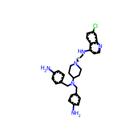 Nc1ccc(CN(Cc2ccc(N)cc2)C2CCN(CCNc3ccnc4cc(Cl)ccc34)CC2)cc1